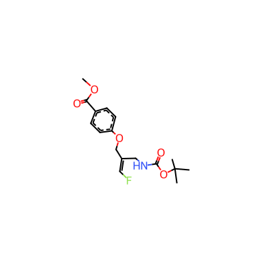 COC(=O)c1ccc(OC/C(=C/F)CNC(=O)OC(C)(C)C)cc1